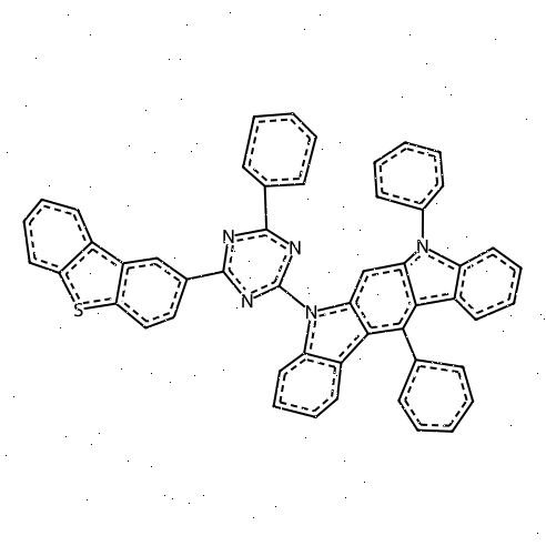 c1ccc(-c2nc(-c3ccc4sc5ccccc5c4c3)nc(-n3c4ccccc4c4c(-c5ccccc5)c5c6ccccc6n(-c6ccccc6)c5cc43)n2)cc1